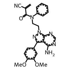 C=C(C#N)C(=O)N(CCn1nc(-c2ccc(OC)c(OC)c2)c2c(N)ncnc21)c1ccccc1